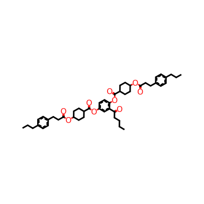 CCCCC(=O)c1cc(OC(=O)C2CCC(OC(=O)CCc3ccc(CCC)cc3)CC2)ccc1OC(=O)C1CCC(OC(=O)CCc2ccc(CCC)cc2)CC1